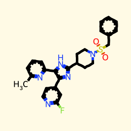 Cc1cccc(-c2[nH]c(C3CCN(S(=O)(=O)Cc4ccccc4)CC3)nc2-c2ccnc(F)c2)n1